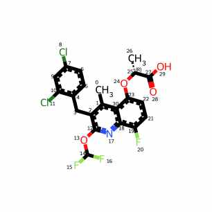 Cc1c(Cc2ccc(Cl)cc2Cl)c(OC(F)F)nc2c(F)ccc(O[C@H](C)C(=O)O)c12